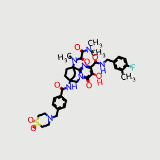 Cc1cc(CNC(=O)c2nc3n(c(=O)c2O)CC2(NC(=O)c4ccc(CN5CCS(=O)(=O)CC5)cc4)CCC3(N(C)C(=O)C(=O)N(C)C)CC2)ccc1F